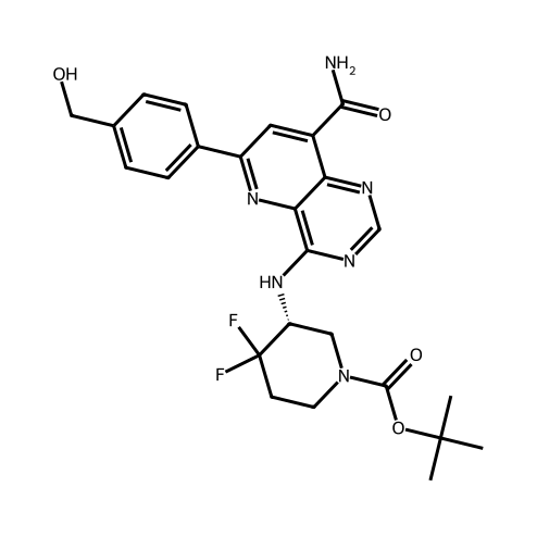 CC(C)(C)OC(=O)N1CCC(F)(F)[C@H](Nc2ncnc3c(C(N)=O)cc(-c4ccc(CO)cc4)nc23)C1